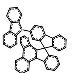 c1ccc2c(c1)-c1ccc(-n3c4ccccc4c4ccccc43)cc1C21c2ccccc2-c2c1c1ncccc1c1ccccc21